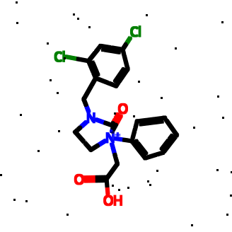 O=C(O)C[N+]1(c2ccccc2)CCN(Cc2ccc(Cl)cc2Cl)C1=O